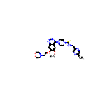 COc1cc2c(N3CCN(C(=S)NCc4cnc(C)cn4)CC3)ncnc2cc1OCCN1CCOCC1